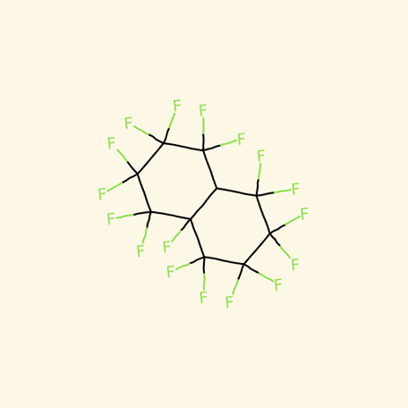 FC1(F)C2C(F)(F)C(F)(F)C(F)(F)C(F)(F)C2(F)C(F)(F)C(F)(F)C1(F)F